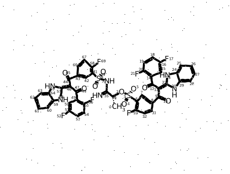 C[C@@H](OS(=O)(=O)c1cc(C(=O)C(C(=O)c2cc(F)ccc2F)=C2Nc3ccccc3N2)ccc1F)C(=N)NS(=O)(=O)c1cc(C(=O)C(C(=O)c2cc(F)ccc2F)=C2Nc3ccccc3N2)ccc1F